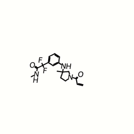 C=CC(=O)N1CCC(C)(Nc2cccc(C(F)(F)C(=O)NC)c2)C1